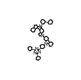 c1ccc(-c2cccc(-n3c4ccc5ccccc5c4c4c5ccn(-c6ccc7c8ccccc8n(-c8ccc(-c9nc(-c%10ccccc%10)nc(-c%10ccccc%10)n9)cc8)c7c6)c5ccc43)c2)cc1